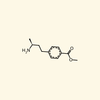 COC(=O)c1ccc(CC[C@H](C)N)cc1